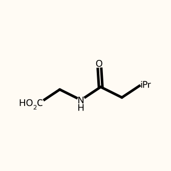 CC(C)CC(=O)NCC(=O)O